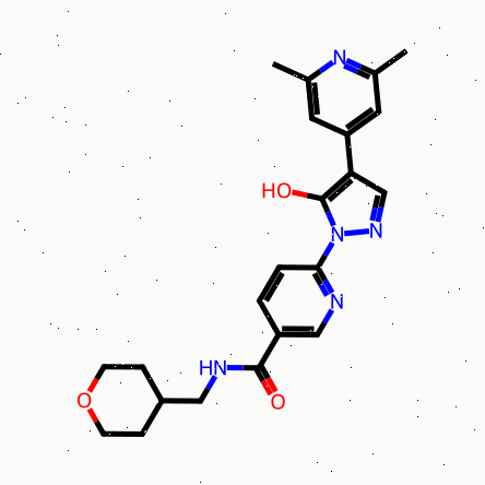 Cc1cc(-c2cnn(-c3ccc(C(=O)NCC4CCOCC4)cn3)c2O)cc(C)n1